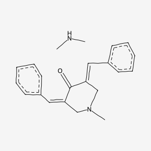 CN1CC(=Cc2ccccc2)C(=O)C(=Cc2ccccc2)C1.CNC